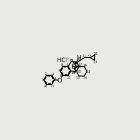 Cl.c1ccc(Oc2ccc3c(c2)[C@@]24CCCC[C@H]2[C@@H](C3)N(CC2CC2)CC4)cc1